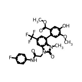 COC(=O)c1cc(O)c(OC)cc1-c1cc(C(F)(F)F)cc2c1n(C)c(=O)n2CC(=O)Nc1ccc(F)cc1